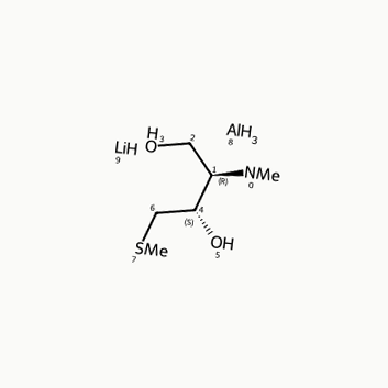 CN[C@H](CO)[C@H](O)CSC.[AlH3].[LiH]